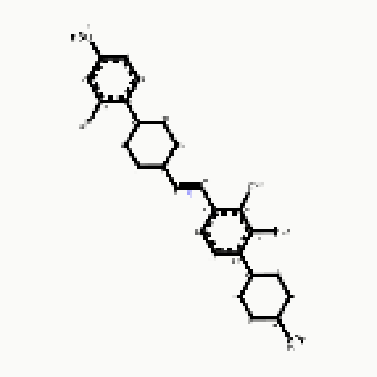 CCCCc1ccc(C2CCC(/C=C/c3ccc(C4CCC(CCC)CC4)c(F)c3F)CC2)c(F)c1